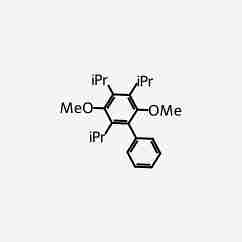 COc1c(-c2ccccc2)c(C(C)C)c(OC)c(C(C)C)c1C(C)C